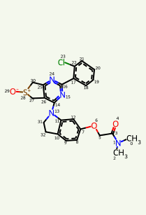 CN(C)C(=O)COc1ccc2c(c1)N(c1nc(-c3ccccc3Cl)nc3c1C[S+]([O-])C3)CC2